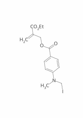 C=C(COC(=O)c1ccc(N(C)CI)cc1)C(=O)OCC